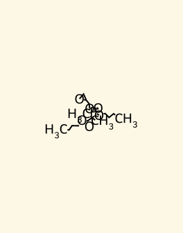 CCCCOC(=O)C(C)(C)P(=O)(OCCCC)OCC1CO1